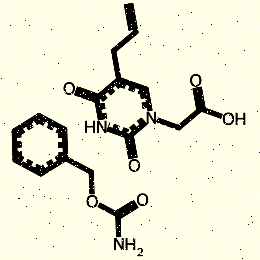 C=CCc1cn(CC(=O)O)c(=O)[nH]c1=O.NC(=O)OCc1ccccc1